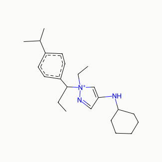 CCC(c1ccc(C(C)C)cc1)[N+]1(CC)C=C(NC2CCCCC2)C=N1